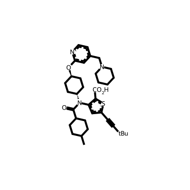 CC1CCC(C(=O)N(c2cc(C#CC(C)(C)C)sc2C(=O)O)[C@H]2CC[C@H](Oc3cc(CN4CCCCC4)ccn3)CC2)CC1